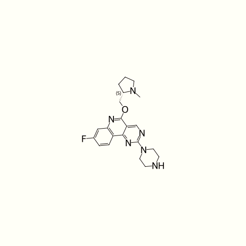 CN1CCC[C@H]1COc1nc2cc(F)ccc2c2nc(N3CCNCC3)ncc12